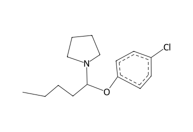 CCCCC(Oc1ccc(Cl)cc1)N1CCCC1